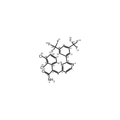 NC(=O)/C(=C/c1ccnc(-c2cc(C(F)(F)F)cc(C(F)(F)F)c2)n1)c1cccc(Cl)c1Cl